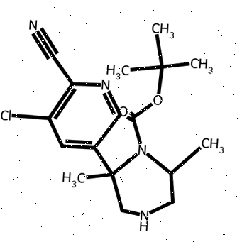 CC1CNCC(C)(c2cnc(C#N)c(Cl)c2)N1C(=O)OC(C)(C)C